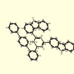 c1ccc(-c2ccc(-c3ccccc3C3N=C(c4ccc5c(c4)sc4ccccc45)N=C(c4cccc5sc6ccccc6c45)N3)cc2)cc1